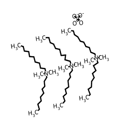 CCCCCCCCCC[N+](C)(C)CCCCCCCCCC.CCCCCCCCCC[N+](C)(C)CCCCCCCCCC.CCCCCCCCCC[N+](C)(C)CCCCCCCCCC.O=P([O-])([O-])[O-]